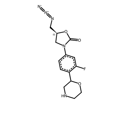 [N-]=[N+]=NC[C@@H]1CN(c2ccc(C3CNCCO3)c(F)c2)C(=O)O1